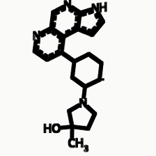 CC1(O)CCN(C2[CH]CCC(c3ccnc4cnc5[nH]ccc5c34)C2)C1